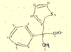 O=[C]C(O)(c1ccccc1)c1cccs1